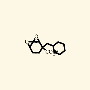 O=C(O)C1(CC2CCCCC2)CCC2OC23OC13